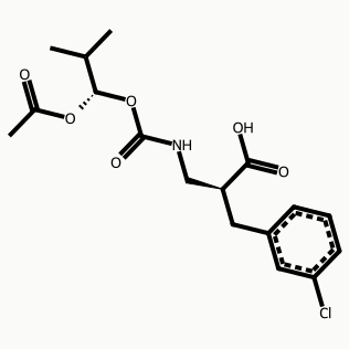 CC(=O)O[C@@H](OC(=O)NC[C@H](Cc1cccc(Cl)c1)C(=O)O)C(C)C